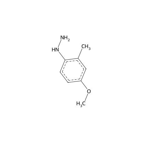 COc1ccc(NN)c(C)c1